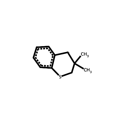 CC1(C)[CH]c2ccccc2SC1